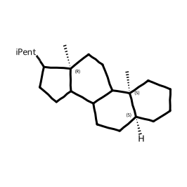 CCCC(C)C1CCC2C3CC[C@@H]4CCCC[C@]4(C)C3CC[C@]12C